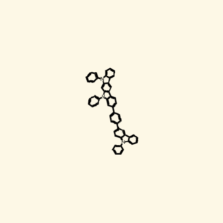 c1ccc(-n2c3ccccc3c3cc(-c4ccc(-c5ccc6c7cc8c9ccccc9n(-c9ccccc9)c8cc7n(-c7ccccc7)c6c5)cc4)ccc32)cc1